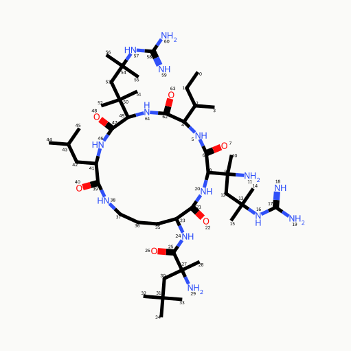 CCC(C)C1NC(=O)C(C(C)(N)CC(C)(C)NC(=N)N)NC(=O)C(NC(=O)C(C)(N)CC(C)(C)C)CCCNC(=O)C(CC(C)C)NC(=O)C(C(C)(C)CC(C)(C)NC(=N)N)NC1=O